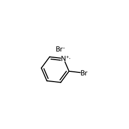 BrC1=CC=CC=[N+]1.[Br-]